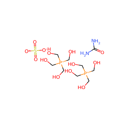 NC(N)=O.O=S(=O)([O-])[O-].OC[P+](CO)(CO)CO.OC[P+](CO)(CO)CO